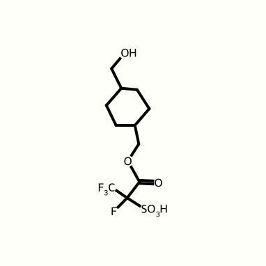 O=C(OCC1CCC(CO)CC1)C(F)(C(F)(F)F)S(=O)(=O)O